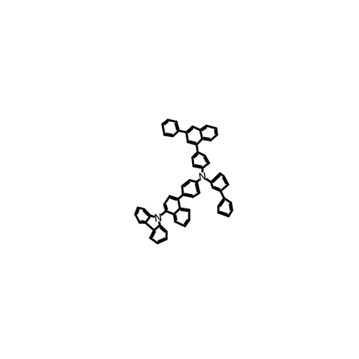 c1ccc(-c2cccc(N(c3ccc(-c4cc(-c5ccccc5)cc5ccccc45)cc3)c3ccc(-c4ccc(-n5c6ccccc6c6ccccc65)c5ccccc45)cc3)c2)cc1